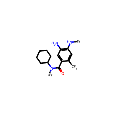 CCNc1cc(C(F)(F)F)c(C(=O)N(C(C)C)C2CCCCC2)cc1N